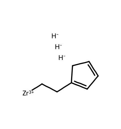 [H-].[H-].[H-].[Zr+3][CH2]CC1=CC=CC1